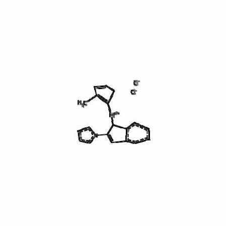 CC1=[C]([Hf+2][CH]2C(n3cccc3)=Cc3ccccc32)CC=C1.[Cl-].[Cl-]